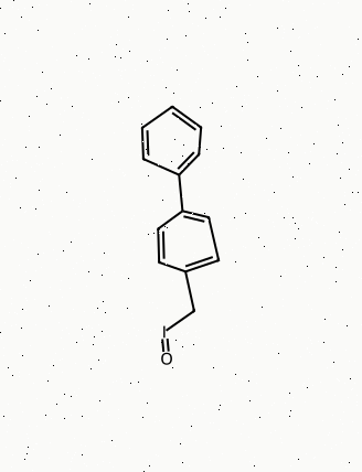 O=ICc1ccc(-c2ccccc2)cc1